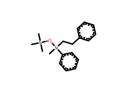 C[Si](C)(C)O[Si](C)(CCc1ccccc1)c1ccccc1